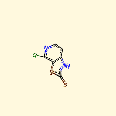 S=c1[nH]c2ccnc(Cl)c2s1